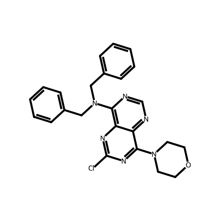 Clc1nc(N2CCOCC2)c2ncnc(N(Cc3ccccc3)Cc3ccccc3)c2n1